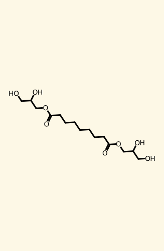 O=C(CCCCCCCC(=O)OCC(O)CO)OCC(O)CO